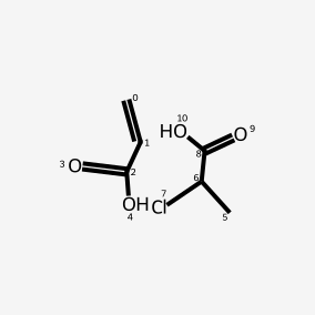 C=CC(=O)O.CC(Cl)C(=O)O